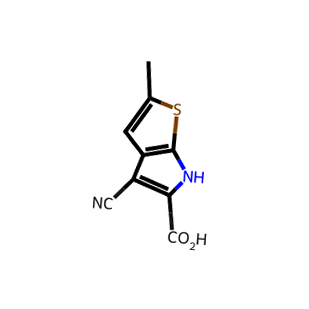 Cc1cc2c(C#N)c(C(=O)O)[nH]c2s1